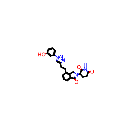 O=C1CCC(N2Cc3c(CCc4cn(-c5cccc(O)c5)nn4)cccc3C2=O)C(=O)N1